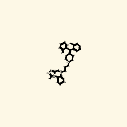 Cc1ccccc1C(=C1CCN(CCCN2Cc3nnc(C)n3-c3ccccc32)CC1)c1ccccc1C